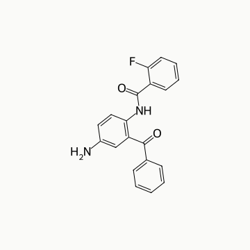 Nc1ccc(NC(=O)c2ccccc2F)c(C(=O)c2ccccc2)c1